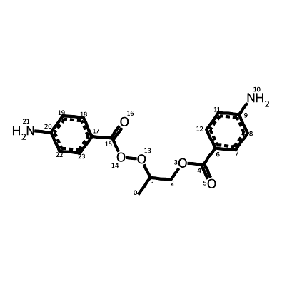 CC(COC(=O)c1ccc(N)cc1)OOC(=O)c1ccc(N)cc1